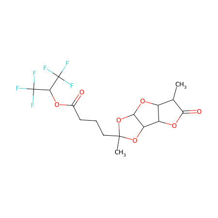 CC1C(=O)OC2C3OC(C)(CCCC(=O)OC(C(F)(F)F)C(F)(F)F)OC3OC12